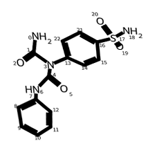 NC(=O)N(C(=O)Nc1ccccc1)c1ccc(S(N)(=O)=O)cc1